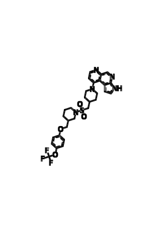 O=S(=O)(CC1CCN(c2ccnc3cnc4[nH]ccc4c23)CC1)N1CCCC(COc2ccc(OC(F)(F)F)cc2)C1